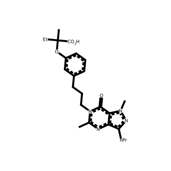 CCCc1nn(C)c2c(=O)n(CCCc3cccc(OC(C)(CC)C(=O)O)c3)c(C)nc12